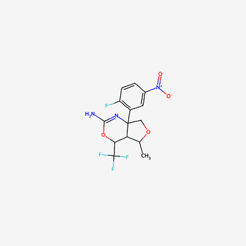 CC1OCC2(c3cc([N+](=O)[O-])ccc3F)N=C(N)OC(C(F)(F)F)C12